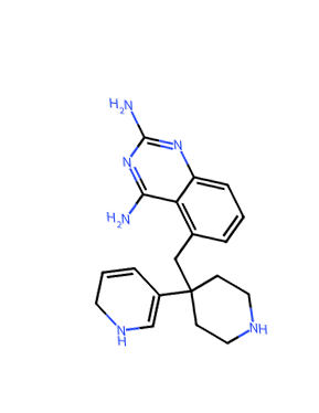 Nc1nc(N)c2c(CC3(C4=CNCC=C4)CCNCC3)cccc2n1